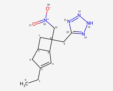 CCC1=CC2C(C1)CC2(Cc1nn[nH]n1)C[N+](=O)[O-]